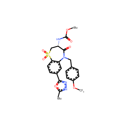 CC(C)(C)OC(=O)N[C@H]1CS(=O)(=O)c2ccc(-c3nnc(C(C)(C)C)o3)cc2N(Cc2ccc(OC(F)(F)F)cc2)C1=O